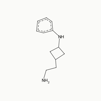 NCCC1CC(Nc2ccccc2)C1